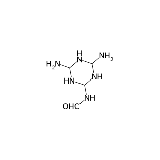 NC1NC(N)NC(NC=O)N1